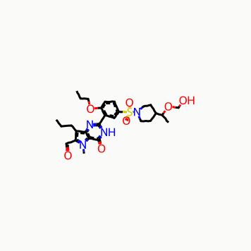 CCCOc1ccc(S(=O)(=O)N2CCC(C(C)OCO)CC2)cc1-c1nc2c(CCC)c(C=O)n(C)c2c(=O)[nH]1